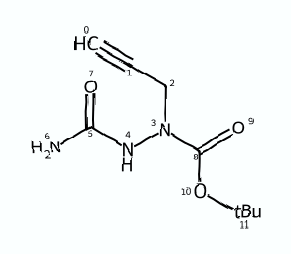 C#CCN(NC(N)=O)C(=O)OC(C)(C)C